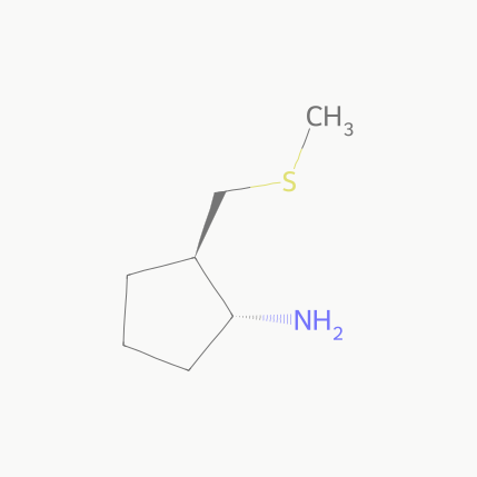 CSC[C@@H]1CCC[C@H]1N